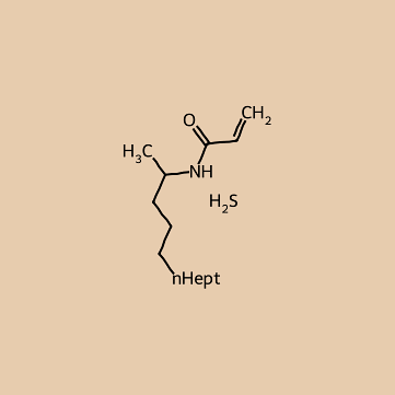 C=CC(=O)NC(C)CCCCCCCCCC.S